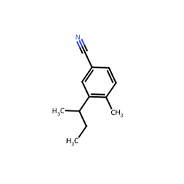 CCC(C)c1cc(C#N)ccc1C